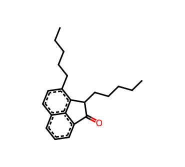 CCCCCc1ccc2cccc3c2c1C(CCCCC)C3=O